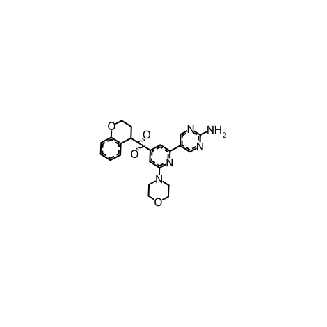 Nc1ncc(-c2cc(S(=O)(=O)C3CCOc4ccccc43)cc(N3CCOCC3)n2)cn1